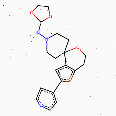 c1cc(-c2cc3c(s2)CCOC32CCN(NC3OCCO3)CC2)ccn1